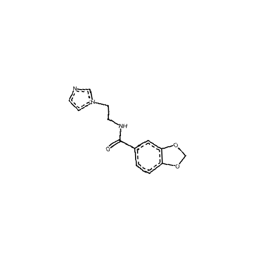 O=C(NCCn1ccnc1)c1ccc2c(c1)OCO2